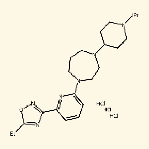 CCc1nc(-c2cccc(N3CCCN(C4CCN(C(C)C)CC4)CC3)n2)no1.Cl.Cl.Cl